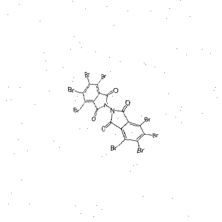 O=C1c2c(Br)c(Br)c(Br)c(Br)c2C(=O)N1N1C(=O)c2c(Br)c(Br)c(Br)c(Br)c2C1=O